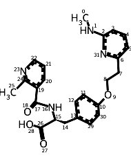 CNc1cccc(CCOc2ccc(C[C@H](NC(=O)c3cccnc3C)C(=O)O)cc2)n1